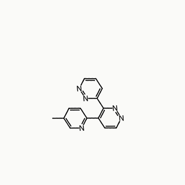 Cc1ccc(-c2ccnnc2-c2cccnn2)nc1